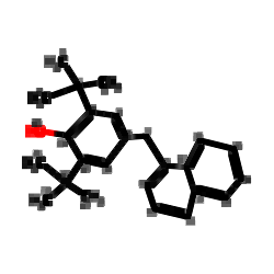 CC(C)(C)c1cc(Cc2cccc3ccccc23)cc(C(C)(C)C)c1O